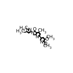 CCc1cc(N2Cc3nc(-c4cnc(OC)c(OC)c4)cc(C)c3C2=O)nn1C